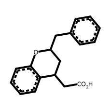 O=C(O)CC1CC(Cc2ccccc2)Oc2ccccc21